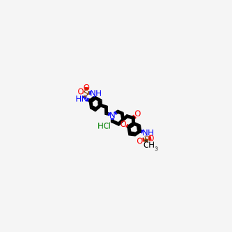 CS(=O)(=O)Nc1ccc2c(c1)C(=O)CC1(CCN(CCc3ccc4c(c3)NS(=O)(=O)N4)CC1)O2.Cl